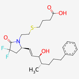 C[C@@H](CCCc1ccccc1)[C@H](O)/C=C/[C@H]1CC(F)(F)C(=O)N1CCSCCCC(=O)O